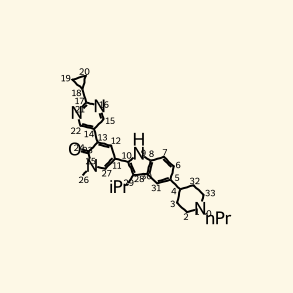 CCCN1CCC(c2ccc3[nH]c(-c4cc(-c5cnc(C6CC6)nc5)c(=O)n(C)c4)c(C(C)C)c3c2)CC1